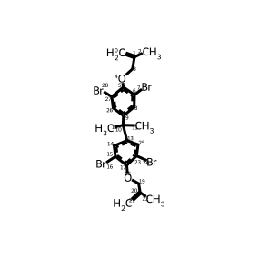 C=C(C)COc1c(Br)cc(C(C)(C)c2cc(Br)c(OCC(=C)C)c(Br)c2)cc1Br